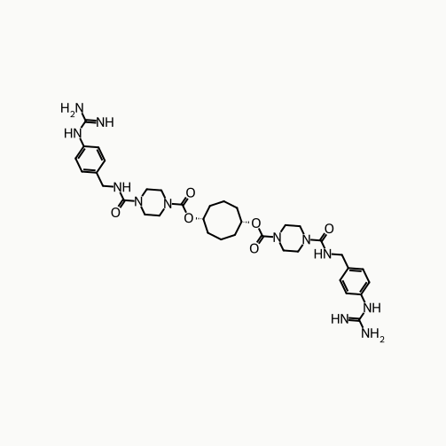 N=C(N)Nc1ccc(CNC(=O)N2CCN(C(=O)O[C@H]3CCC[C@@H](OC(=O)N4CCN(C(=O)NCc5ccc(NC(=N)N)cc5)CC4)CCC3)CC2)cc1